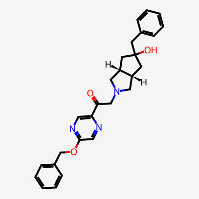 O=C(CN1C[C@@H]2CC(O)(Cc3ccccc3)C[C@@H]2C1)c1cnc(OCc2ccccc2)cn1